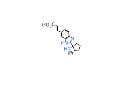 CC(C)NC1(c2nc3ccc(/C=C/C(=O)O)cc3[nH]2)CCCC1